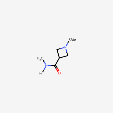 CSN1CC(C(=O)N(C)C(C)C)C1